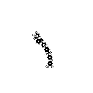 N#Cc1ccc(O[C@H]2CC[C@H](NC(=O)c3ccc(N4CCC(n5ccc6c(N7CCC(=O)NC7=O)cccc65)CC4)cc3)CC2)cc1Cl